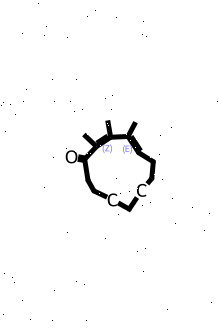 C/C1=C(C)/C(C)=C/CCCCCCCC1=O